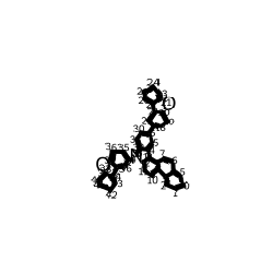 c1ccc2c(c1)ccc1c2ccc2c1c1cc(-c3ccc4oc5ccccc5c4c3)ccc1n2-c1ccc2oc3ccccc3c2c1